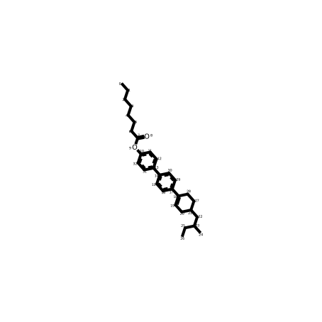 CCCCCCCC(=O)Oc1ccc(-c2ccc(C3=CCC(CC(C)CC)CC3)cc2)cc1